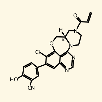 C=CC(=O)N1CCN2c3ncnc4cc(-c5ccc(O)c(C#N)c5)c(Cl)c(c34)OC[C@@H]2C1